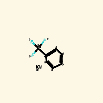 F[B-](F)(F)c1ccccc1.[KH]